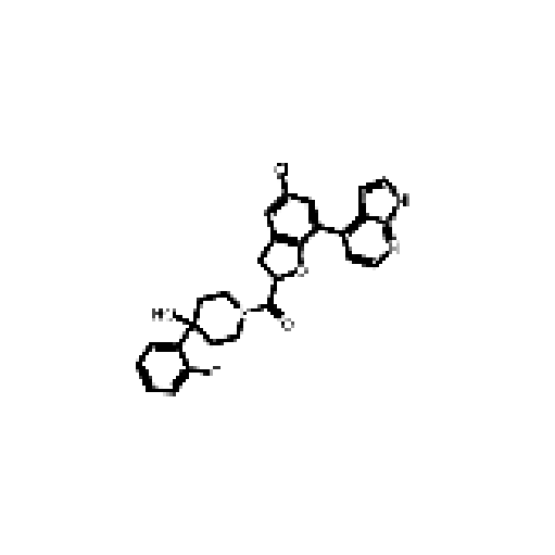 O=C(C1Cc2cc(Cl)cc(-c3ccnc4[nH]ccc34)c2O1)N1CCC(O)(c2ccccc2F)CC1